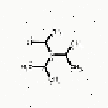 CC(C)N(C(C)C)C(P)Cl